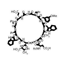 COc1cccc(C[C@@H]2NC(=O)[C@H](Cc3c[nH]c4ccccc34)NC(=O)[C@H](C)NC(=O)[C@@H](NC(=O)[C@H](CC(=O)O)NC(C)=O)CSSC[C@@H](C(=O)N[C@H](C(=O)O)[C@@H](C)O)NC(=O)[C@H](Cc3c[nH]c4ccccc34)NC(=O)C(C(C)C)NC(=O)[C@H](CC(C)C)NC(=O)[C@H](CCC(=O)O)NC(=O)CNC(=O)[C@H](CC(C)C)NC2=O)c1